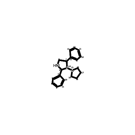 c1ccc([C]2NCC(c3ccccc3)N2N2CCCC2)cc1